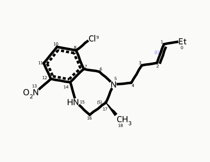 CC/C=C/CCN1Cc2c(Cl)ccc([N+](=O)[O-])c2NC[C@@H]1C